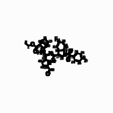 CCOC(=O)C1C2CCC(CC2)C1Nc1nc(-c2cn(S(=O)(=O)c3ccc(C)cc3)c3ncc(F)cc23)nn2c(C=O)ccc12